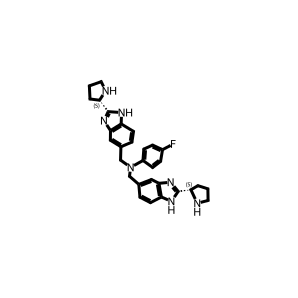 Fc1ccc(N(Cc2ccc3[nH]c([C@@H]4CCCN4)nc3c2)Cc2ccc3[nH]c([C@@H]4CCCN4)nc3c2)cc1